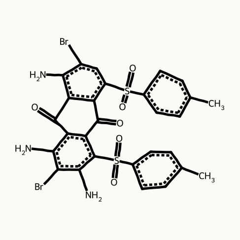 Cc1ccc(S(=O)(=O)c2cc(Br)c(N)c3c2C(=O)c2c(c(N)c(Br)c(N)c2S(=O)(=O)c2ccc(C)cc2)C3=O)cc1